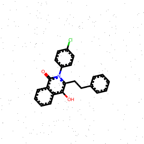 O=c1c2ccccc2c(O)c(CCc2ccccc2)n1-c1ccc(Cl)cc1